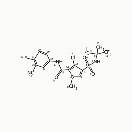 Cn1cc(S(=O)(=O)NC(C)(C)C(F)(F)F)c(Cl)c1C(=O)Nc1ccc(F)c(C#N)c1